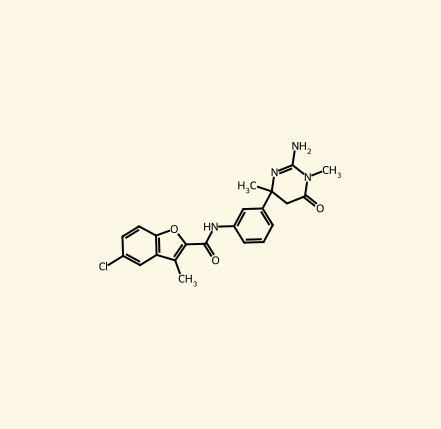 Cc1c(C(=O)Nc2cccc(C3(C)CC(=O)N(C)C(N)=N3)c2)oc2ccc(Cl)cc12